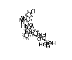 O=C(C=Cc1cc(Cl)ccc1-n1cnnn1)N[C@@H](Cc1ccccc1)C(=O)Nc1ccc(NC(=O)OCCP(=O)(O)O)cc1